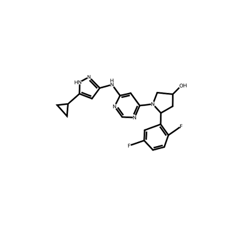 OC1CC(c2cc(F)ccc2F)N(c2cc(Nc3cc(C4CC4)[nH]n3)ncn2)C1